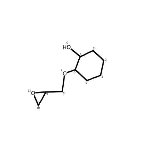 OC1CCCCC1OCC1CO1